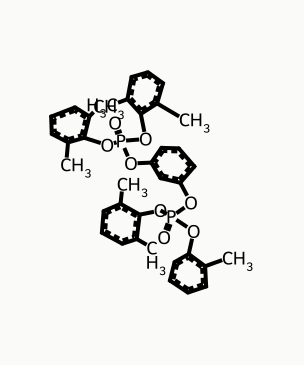 Cc1ccccc1OP(=O)(Oc1cccc(OP(=O)(Oc2c(C)cccc2C)Oc2c(C)cccc2C)c1)Oc1c(C)cccc1C